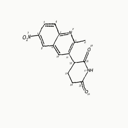 Cc1nc2ccc([N+](=O)[O-])cc2cc1C1CCC(=O)NC1=O